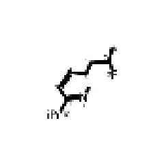 C/N=C(\C=C/CCC(C)F)C(C)C